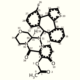 CC(=O)Oc1c2n(ccc1=O)N(C1c3ccccc3-c3sccc3-c3c(F)cccc31)[C@@H]1COCCN1C2=O